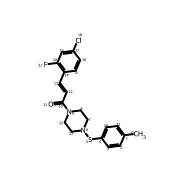 Cc1ccc(SN2CCN(C(=O)/C=C/c3ccc(Cl)cc3F)CC2)cc1